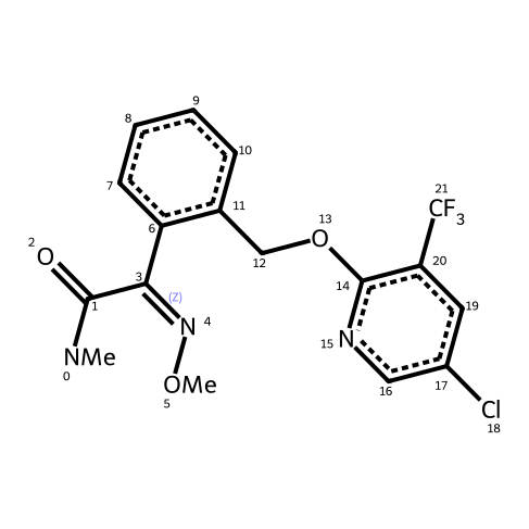 CNC(=O)/C(=N\OC)c1ccccc1COc1ncc(Cl)cc1C(F)(F)F